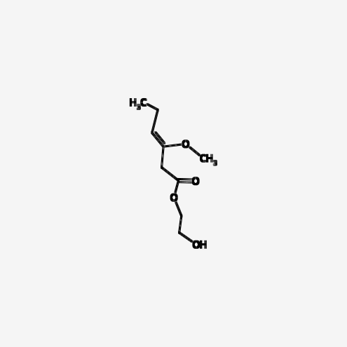 CCC=C(CC(=O)OCCO)OC